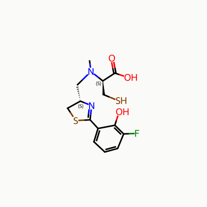 CN(C[C@H]1CSC(c2cccc(F)c2O)=N1)[C@H](CS)C(=O)O